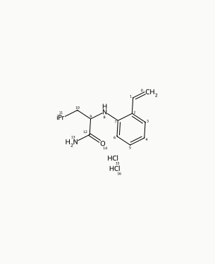 C=Cc1ccccc1NC(CC(C)C)C(N)=O.Cl.Cl